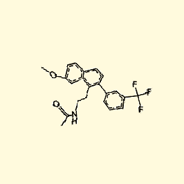 COc1ccc2ccc(-c3cccc(C(F)(F)F)c3)c(CCNC(C)=O)c2c1